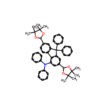 CC1(C)OB(c2ccc3c(c2)C(c2ccccc2)(c2ccccc2)c2cc(B4OC(C)(C)C(C)(C)O4)cc(N(c4ccccc4)c4ccccc4)c2-3)OC1(C)C